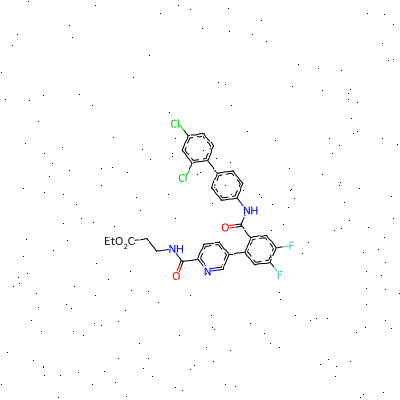 CCOC(=O)CCNC(=O)c1ccc(-c2cc(F)c(F)cc2C(=O)Nc2ccc(-c3ccc(Cl)cc3Cl)cc2)cn1